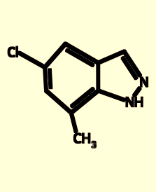 Cc1cc(Cl)cc2cn[nH]c12